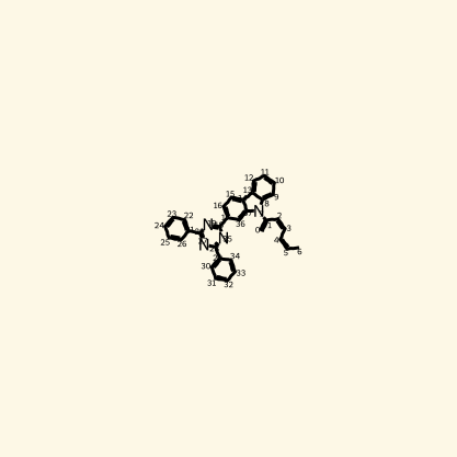 C=C(/C=C\C=C/C)n1c2ccccc2c2ccc(-c3nc(-c4ccccc4)nc(-c4ccccc4)n3)cc21